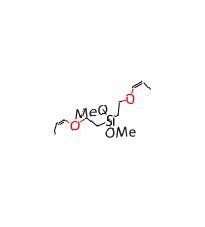 C/C=C\OCC[Si](CCO/C=C\C)(OC)OC